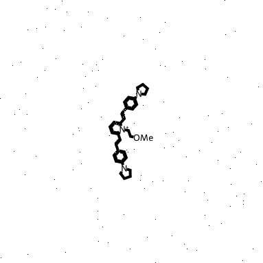 COCC[n+]1c(/C=C/c2ccc(N3CCCC3)cc2)cccc1/C=C/c1ccc(N2CCCC2)cc1